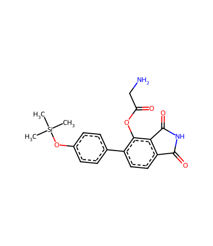 C[Si](C)(C)Oc1ccc(-c2ccc3c(c2OC(=O)CN)C(=O)NC3=O)cc1